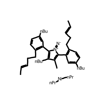 CC=CCCc1ccc(CCCC)cc1C1=C(C)C(CCCC)=C(c2cc(CCCC)ccc2CCC=CC)[N+]1=[N-].CC[CH2][Ni][CH2]CC